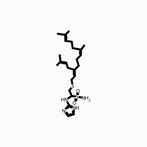 CC(C)=CCCC(C)=CCCC(=CCSCC(Nc1ncc[nH]1)S(N)(=O)=O)CC=C(C)C